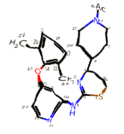 CC(=O)N1CCC(C2CSC(Nc3cc(Oc4c(C)cccc4C)ccn3)=N2)CC1